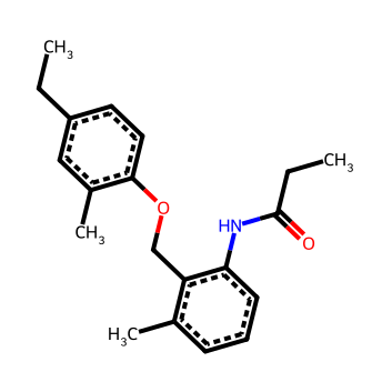 CCC(=O)Nc1cccc(C)c1COc1ccc(CC)cc1C